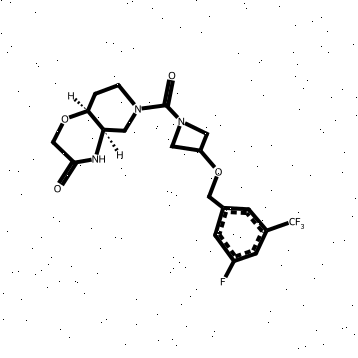 O=C1CO[C@H]2CCN(C(=O)N3CC(OCc4cc(F)cc(C(F)(F)F)c4)C3)C[C@H]2N1